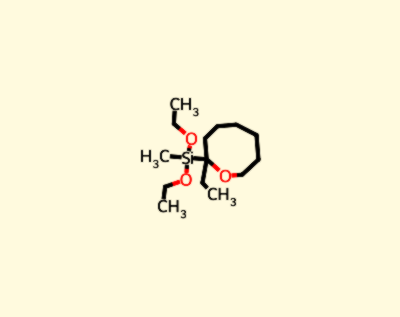 CCO[Si](C)(OCC)C1(CC)CCCCCCO1